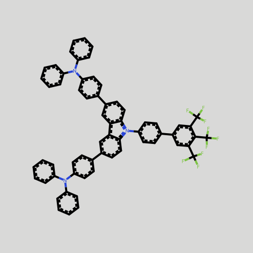 FC(F)(F)c1cc(-c2ccc(-n3c4ccc(-c5ccc(N(c6ccccc6)c6ccccc6)cc5)cc4c4cc(-c5ccc(N(c6ccccc6)c6ccccc6)cc5)ccc43)cc2)cc(C(F)(F)F)c1C(F)(F)F